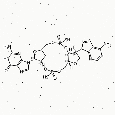 Nc1nc2c(ncn2[C@@H]2OC3COP(=O)(S)O[C@@H]4[C@@H](COP(=O)(S)O[C@H]2C3)OC[C@]4(F)n2nnc3c(N)ncnc32)c(=O)[nH]1